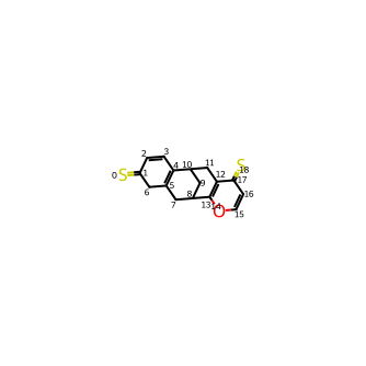 S=C1C=CC2=C(C1)CC1CC2Cc2c1occc2=S